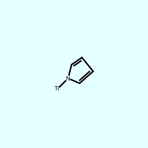 [Ti][n]1cccc1